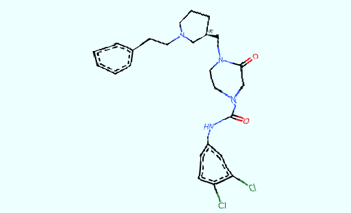 O=C1CN(C(=O)Nc2ccc(Cl)c(Cl)c2)CCN1C[C@@H]1CCCN(CCc2ccccc2)C1